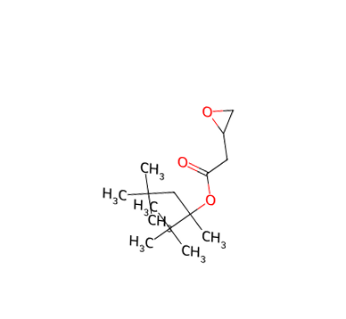 CC(C)(C)CC(C)(OC(=O)CC1CO1)C(C)(C)C